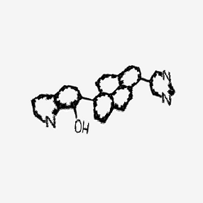 Oc1c(-c2ccc3ccc4c(-c5cncnc5)ccc5ccc2c3c54)ccc2cccnc12